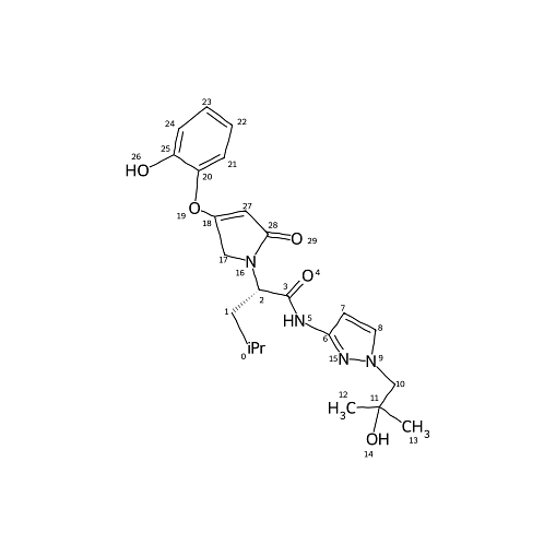 CC(C)C[C@@H](C(=O)Nc1ccn(CC(C)(C)O)n1)N1CC(Oc2ccccc2O)=CC1=O